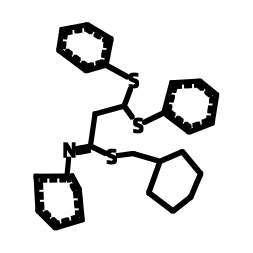 c1ccc(N=C(CC(Sc2ccccc2)Sc2ccccc2)SCC2CCCCC2)cc1